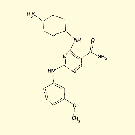 COc1cccc(Nc2ncc(C(N)=O)c(NC3CCC(N)CC3)n2)c1